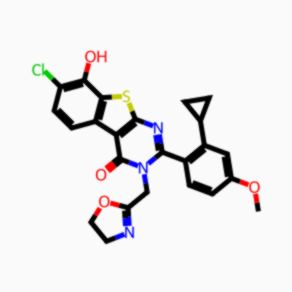 COc1ccc(-c2nc3sc4c(O)c(Cl)ccc4c3c(=O)n2CC2=NCCO2)c(C2CC2)c1